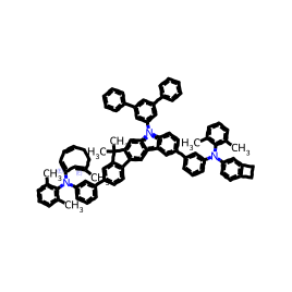 C/C1=C\C(N(c2cccc(-c3ccc4c(c3)C(C)(C)c3cc5c(cc3-4)c3cc(-c4cccc(N(c6ccc7c(c6)CC7)c6c(C)cccc6C)c4)ccc3n5-c3cc(-c4ccccc4)cc(-c4ccccc4)c3)c2)c2c(C)cccc2C)=C/C=CCC1